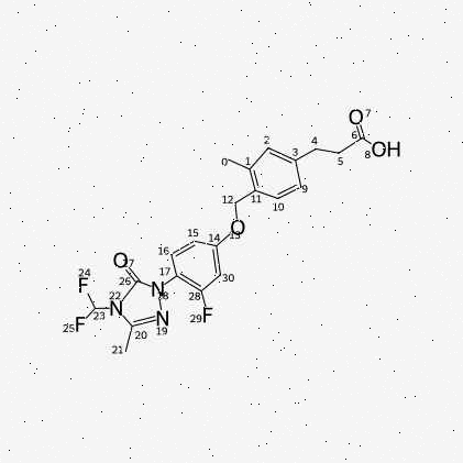 Cc1cc(CCC(=O)O)ccc1COc1ccc(-n2nc(C)n(C(F)F)c2=O)c(F)c1